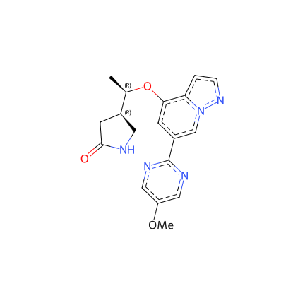 COc1cnc(-c2cc(O[C@H](C)[C@H]3CNC(=O)C3)c3ccnn3c2)nc1